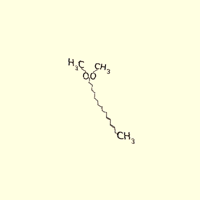 CCC=CC=CCCCCCCCCCCC(OCCC)OCCC